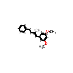 COc1cc(/C=C(\C)CCc2ccccc2)cc(OC)c1